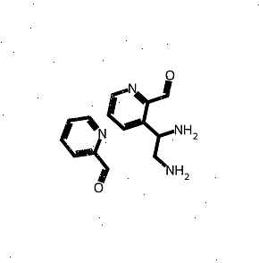 NCC(N)c1cccnc1C=O.O=Cc1ccccn1